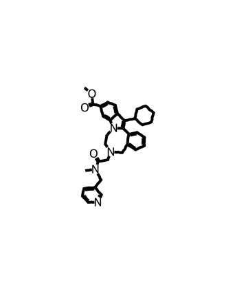 COC(=O)c1ccc2c(C3CCCCC3)c3n(c2c1)CCN(CC(=O)N(C)Cc1cccnc1)Cc1ccccc1-3